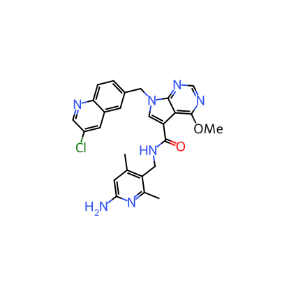 COc1ncnc2c1c(C(=O)NCc1c(C)cc(N)nc1C)cn2Cc1ccc2ncc(Cl)cc2c1